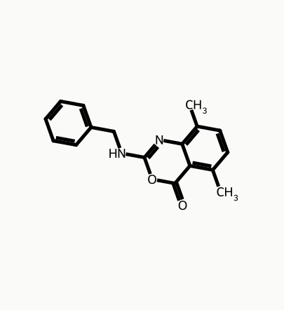 Cc1ccc(C)c2c(=O)oc(NCc3ccccc3)nc12